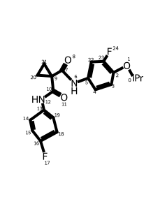 CC(C)Oc1ccc(NC(=O)C2(C(=O)Nc3ccc(F)cc3)CC2)cc1F